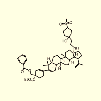 C=C(C)[C@@H]1CC[C@]2(NCCC3(O)CCC(S(C)(=O)=O)CC3)CC[C@]3(C)[C@H](CC[C@@H]4[C@@]5(C)CC=C(C6=CC[C@@](COC(=O)c7ccccc7)(C(=O)OCC)CC6)C(C)(C)[C@@H]5CC[C@]43C)[C@@H]12